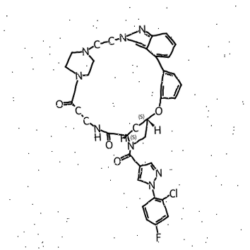 O=C1NCCC(=O)N2CCN(CC2)CCn2cc3c(cccc3n2)-c2cccc(c2)O[C@H]2C[C@@H]1N(C(=O)c1cnn(-c3ccc(F)cc3Cl)c1)C2